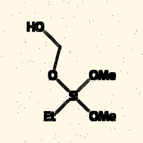 CC[Si](OC)(OC)OCO